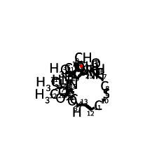 C/C=C1\NC(=O)[C@H]2CCSCC/C=C/[C@H](CC(=O)N[C@H](C(C)C)C(=O)N2)OC(=O)[C@H](C(C)C)NC1=O